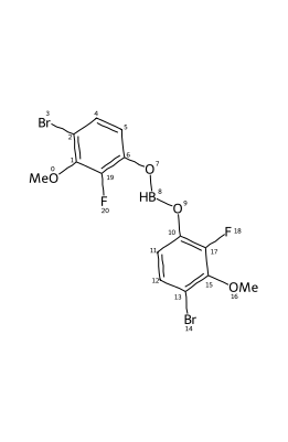 COc1c(Br)ccc(OBOc2ccc(Br)c(OC)c2F)c1F